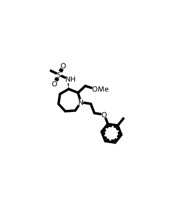 COCC1[C@@H](NS(C)(=O)=O)CCCCN1CCOc1ccccc1C